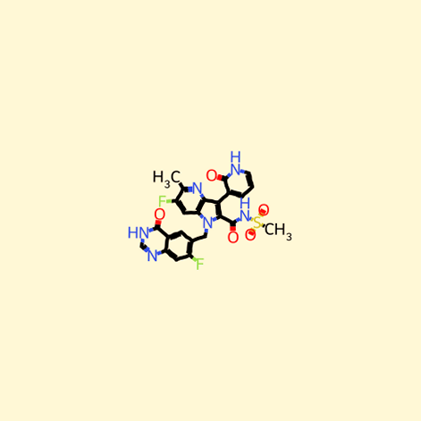 Cc1nc2c(-c3ccc[nH]c3=O)c(C(=O)NS(C)(=O)=O)n(Cc3cc4c(=O)[nH]cnc4cc3F)c2cc1F